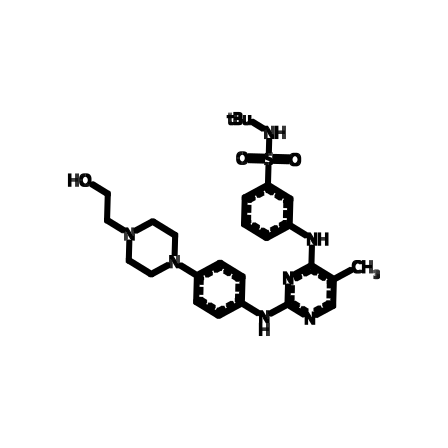 Cc1cnc(Nc2ccc(N3CCN(CCO)CC3)cc2)nc1Nc1cccc(S(=O)(=O)NC(C)(C)C)c1